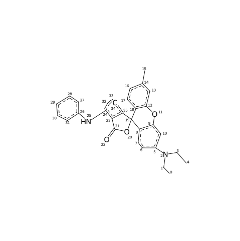 CCN(CC)c1ccc2c(c1)Oc1cc(C)ccc1C21OC(=O)c2c(Nc3ccccc3)cccc21